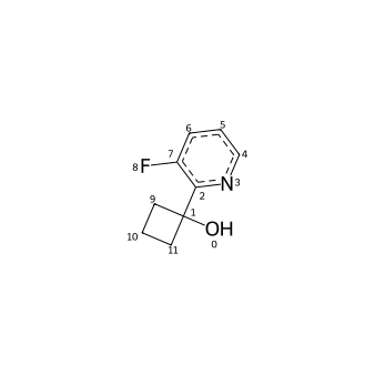 OC1(c2ncccc2F)CCC1